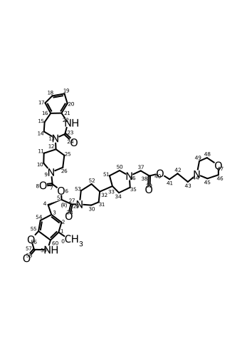 Cc1cc(C[C@@H](OC(=O)N2CCC(N3CCc4ccccc4NC3=O)CC2)C(=O)N2CCC(C3CCN(CC(=O)OCCCN4CCOCC4)CC3)CC2)cc2oc(=O)[nH]c12